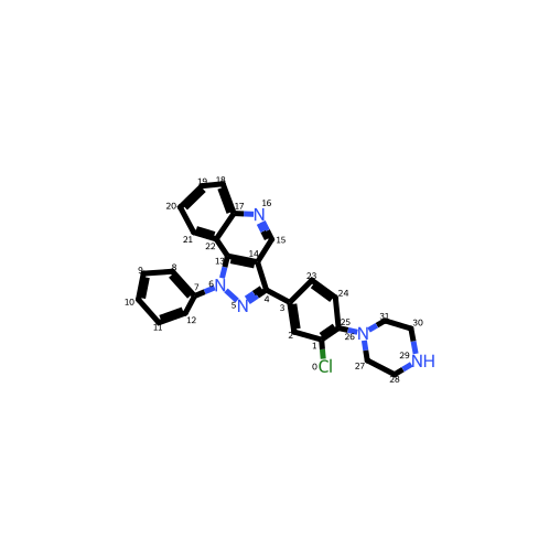 Clc1cc(-c2nn(-c3ccccc3)c3c2cnc2ccccc23)ccc1N1CCNCC1